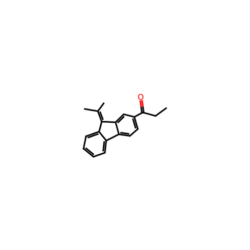 CCC(=O)c1ccc2c(c1)C(=C(C)C)c1ccccc1-2